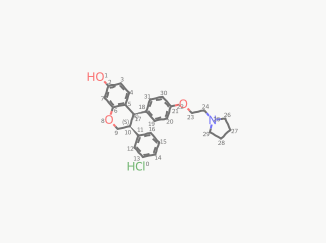 Cl.Oc1ccc2c(c1)OC[C@H](c1ccccc1)[C@@H]2c1ccc(OCCN2CCCC2)cc1